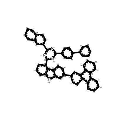 c1ccc(-c2ccc(-c3nc(-c4ccc5ccccc5c4)nc(-c4cccc5oc6cc(-c7ccc8c9ccccc9c9ccccc9c8c7)ccc6c45)n3)cc2)cc1